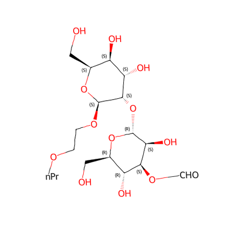 CCCOCCO[C@H]1O[C@@H](CO)[C@@H](O)[C@H](O)[C@@H]1O[C@H]1O[C@H](CO)[C@@H](O)[C@H](OC=O)[C@@H]1O